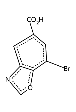 O=C(O)c1cc(Br)c2ocnc2c1